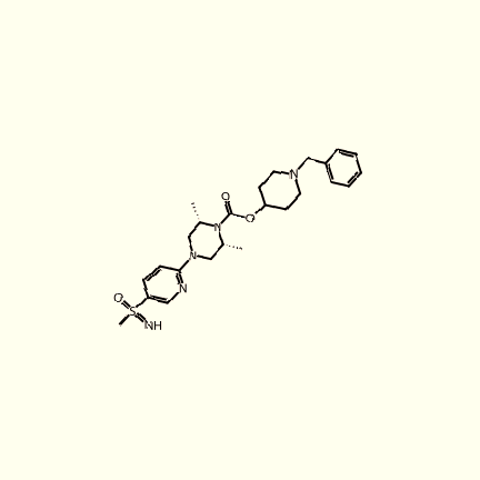 C[C@@H]1CN(c2ccc(S(C)(=N)=O)cn2)C[C@H](C)N1C(=O)OC1CCN(Cc2ccccc2)CC1